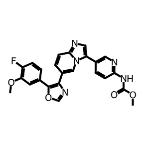 COC(=O)Nc1ccc(-c2cnc3ccc(-c4ncoc4-c4ccc(F)c(OC)c4)cn23)cn1